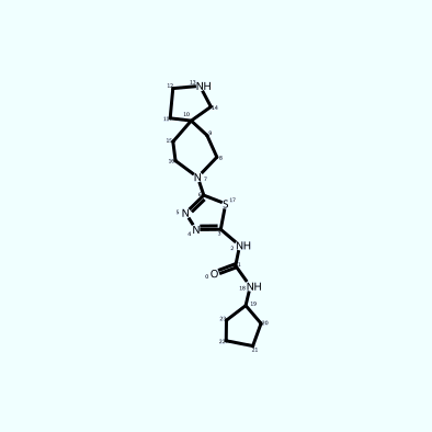 O=C(Nc1nnc(N2CCC3(CCNC3)CC2)s1)NC1CCCC1